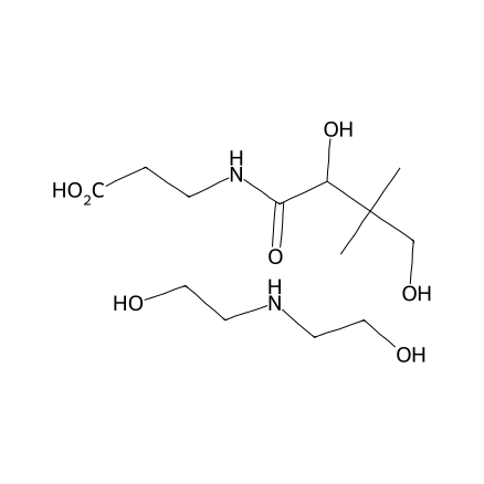 CC(C)(CO)C(O)C(=O)NCCC(=O)O.OCCNCCO